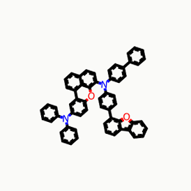 c1ccc(-c2ccc(N(c3ccc(-c4cccc5c4oc4ccccc45)cc3)c3ccc4cccc5c4c3Oc3ccc(N(c4ccccc4)c4ccccc4)cc3-5)cc2)cc1